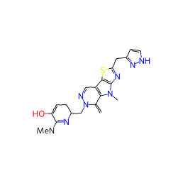 C=C1c2c(c3sc(Cc4cc[nH]n4)nc3n2C)C=NN1CC1CC=C(O)C(NC)=N1